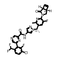 Cc1nc(N2C[C@H]3C#C[C@H]3C2=O)c(F)cc1[C@H](C)n1cc(NC(=O)c2cncc(-c3c(C(F)F)ccc(Cl)c3F)n2)cn1